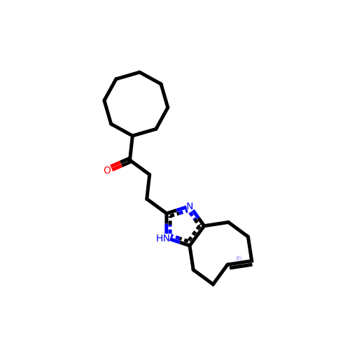 O=C(CCc1nc2c([nH]1)CC/C=C/CC2)C1CCCCCCC1